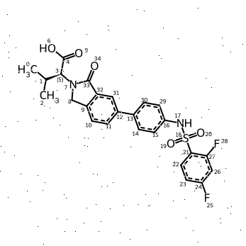 CC(C)[C@@H](C(=O)O)N1Cc2ccc(-c3ccc(NS(=O)(=O)c4ccc(F)cc4F)cc3)cc2C1=O